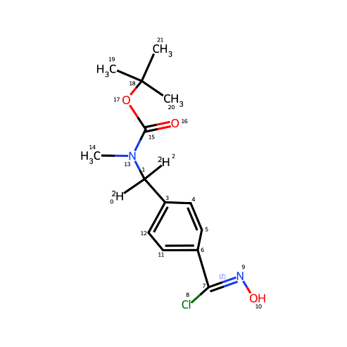 [2H]C([2H])(c1ccc(/C(Cl)=N/O)cc1)N(C)C(=O)OC(C)(C)C